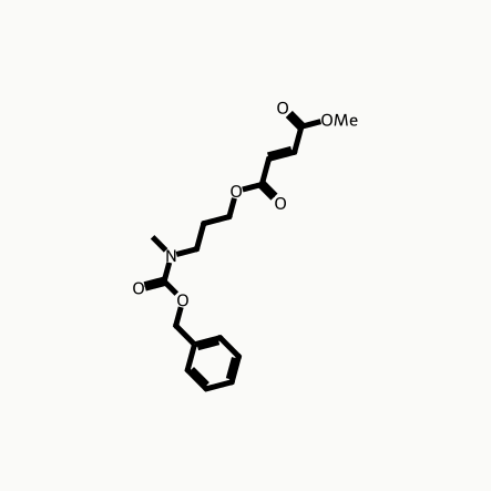 COC(=O)/C=C/C(=O)OCCCN(C)C(=O)OCc1ccccc1